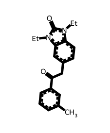 CCn1c(=O)n(CC)c2cc(CC(=O)c3cccc(C)c3)ccc21